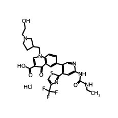 CCNC(=O)Nc1cc(-c2nc(C(F)(F)F)cs2)c(-c2ccc3c(c2)c(=O)c(C(=O)O)cn3CC2CCN(CCO)C2)cn1.Cl